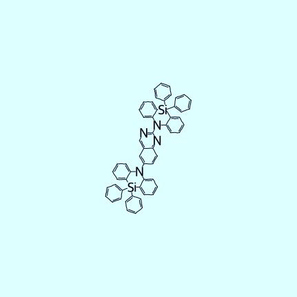 c1ccc([Si]2(c3ccccc3)c3ccccc3N(c3ccc4nc(N5c6ccccc6[Si](c6ccccc6)(c6ccccc6)c6ccccc65)ncc4c3)c3ccccc32)cc1